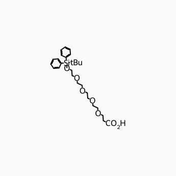 CC(C)(C)[Si](OCCOCCOCCOCCOCCC(=O)O)(c1ccccc1)c1ccccc1